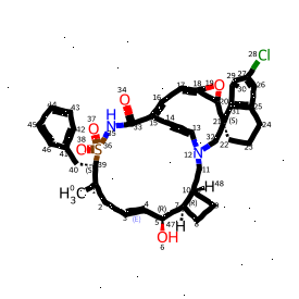 CC1C/C=C/[C@H](O)[C@@H]2CC[C@H]2CN2C=CC(=CC=C3OC3[C@]3(CCCc4cc(Cl)ccc43)C2)C(=O)NS(=O)(=O)[C@H]1Cc1ccccc1